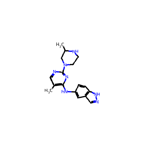 Cc1cnc(N2CCNC(C)C2)nc1Nc1ccc2[nH]ncc2c1